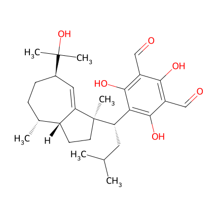 CC(C)C[C@@H](c1c(O)c(C=O)c(O)c(C=O)c1O)[C@@]1(C)CC[C@H]2C1=C[C@H](C(C)(C)O)CC[C@H]2C